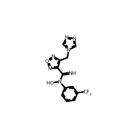 N=C(c1nonc1Cn1cnnc1)N(O)c1cccc(C(F)(F)F)c1